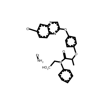 CC(Oc1ccc(Oc2cnc3cc(Cl)ccc3n2)cc1)C(=O)N(CC(=O)O)c1ccccc1.CCN